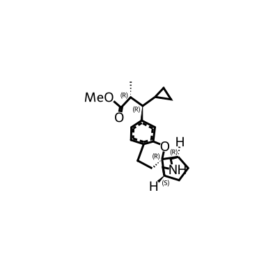 COC(=O)[C@H](C)[C@H](c1ccc2c(c1)O[C@@]1(CC2)[C@@H]2CC[C@H]1CNC2)C1CC1